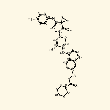 O=C(COc1cc2nccc(OC3=CCC(NC(=O)C4(C(=O)Nc5ccc(F)cc5)CC4)C=C3F)c2cn1)N1CCOCC1